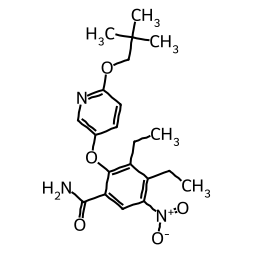 CCc1c([N+](=O)[O-])cc(C(N)=O)c(Oc2ccc(OCC(C)(C)C)nc2)c1CC